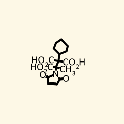 CC(C(=O)O)(N1C(=O)C=CC1=O)C(C(=O)O)(C(=O)O)C1CCCCC1